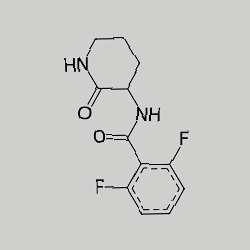 O=C(NC1CCCNC1=O)c1c(F)cccc1F